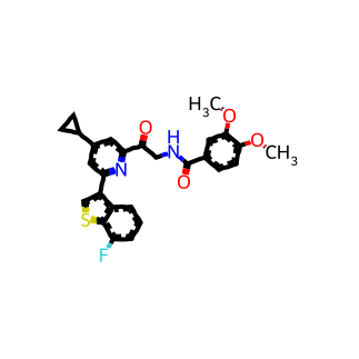 COc1ccc(C(=O)NCC(=O)c2cc(C3CC3)cc(-c3csc4c(F)cccc34)n2)cc1OC